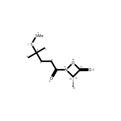 CSSC(C)(C)CCC(=O)N1OC(=O)[C@@H]1C